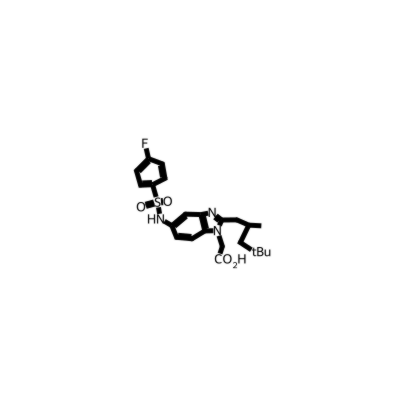 CC(Cc1nc2cc(NS(=O)(=O)c3ccc(F)cc3)ccc2n1CC(=O)O)CC(C)(C)C